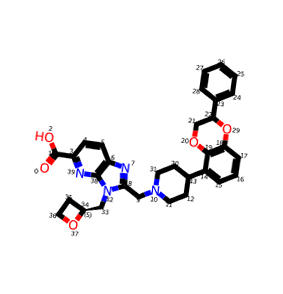 O=C(O)c1ccc2nc(CN3CCC(c4cccc5c4OCC(c4ccccc4)O5)CC3)n(C[C@@H]3CCO3)c2n1